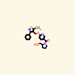 Cc1onc(-c2ccccc2)c1COc1ccc(C(=O)N2CCCC2CO)cn1